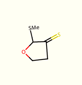 [CH2]SC1OCCC1=S